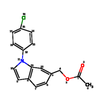 CC(=O)OCc1ccc2ccn(-c3ccc(Cl)cc3)c2c1